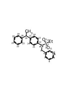 CCS(=O)(=O)N(Cc1cccnc1)c1ccc(C(C)c2ccccc2)cc1